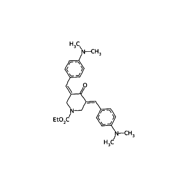 CCOC(=O)N1CC(=Cc2ccc(N(C)C)cc2)C(=O)C(=Cc2ccc(N(C)C)cc2)C1